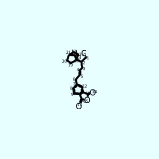 CCC(CC=CCc1ccc2c(c1)C(=O)OC2=O)C12CCC(CC1)C2